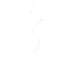 CC=CC[SiH2]CC